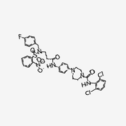 O=C(CCN(Cc1ccc(F)cc1)S(=O)(=O)c1ccccc1[N+](=O)[O-])Nc1ccc(N2CCN(C(=O)Nc3c(Cl)cccc3Cl)CC2)cc1